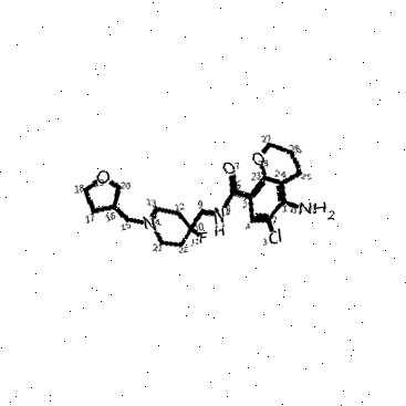 Nc1c(Cl)cc(C(=O)NCC2(F)CCN(CC3CCOC3)CC2)c2c1CCCO2